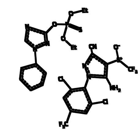 CCOP(=S)(OCC)Oc1ncn(-c2ccccc2)n1.N#Cc1nn(-c2c(Cl)cc(C(F)(F)F)cc2Cl)c(N)c1[S+]([O-])C(F)(F)F